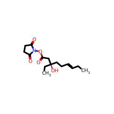 CC/C=C/CC[C@](O)(CC)CC(=O)ON1C(=O)CCC1=O